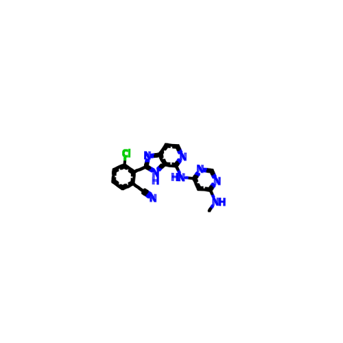 CNc1cc(Nc2nccc3nc(-c4c(Cl)cccc4C#N)[nH]c23)ncn1